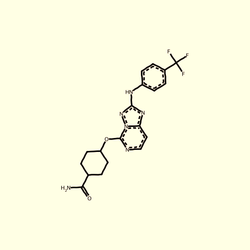 NC(=O)C1CCC(Oc2nccc3nc(Nc4ccc(C(F)(F)F)cc4)nn23)CC1